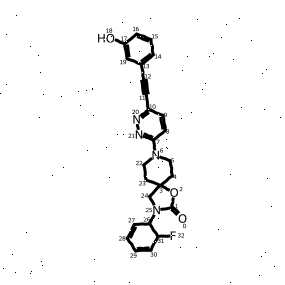 O=C1OC2(CCN(c3ccc(C#Cc4cccc(O)c4)nn3)CC2)CN1C1C=CC=CC1F